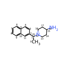 C[C@@H](c1ccc2ccccc2c1)N1CCC(N)CC1